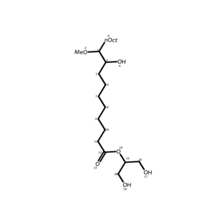 CCCCCCCCC(OC)C(O)CCCCCCCC(=O)OC(CO)CO